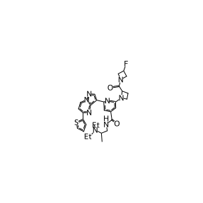 CCN(CC)C(C)CNC(=O)c1cc(-c2cnn3ccc(-c4cccs4)nc23)nc(N2CCC2C(=O)N2CC(F)C2)c1